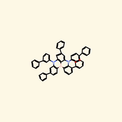 c1ccc(-c2ccc(N3c4cc(-c5ccccc5)cc5c4B(c4ccc(-c6ccccc6)cc4N5c4cccc(-c5ccccc5)c4)c4cccc(-c5ccccc5)c43)cc2)cc1